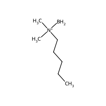 B[N+](C)(C)CCCCC